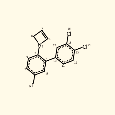 Fc1ccc(N2C=CC2)c(-c2ccc(Cl)c(Cl)c2)c1